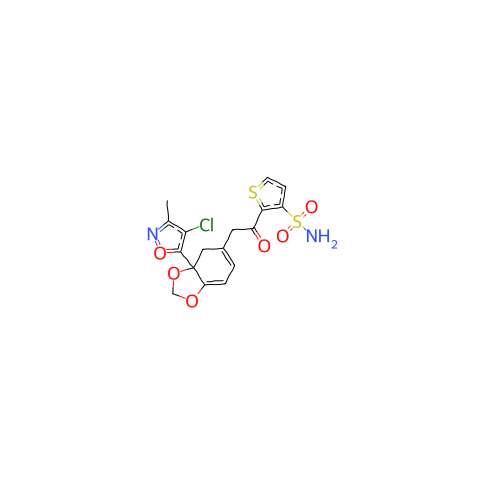 Cc1noc(C23CC(CC(=O)c4sccc4S(N)(=O)=O)=CC=C2OCO3)c1Cl